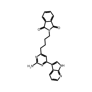 Nc1nc(CCCCN2C(=O)c3ccccc3C2=O)cc(-c2c[nH]c3ncccc23)n1